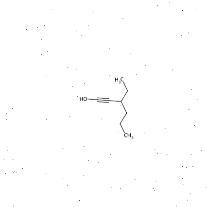 CCCC(C#CO)CC